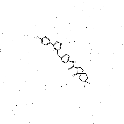 Cc1ccc(-c2cc(Oc3ccc(NC(=O)N4CCC5(CCC(F)(F)CC5)C4=O)nc3)ccn2)cn1